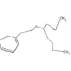 CCCCC(CCC)OCCc1ccccc1